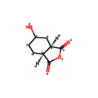 O=C1OC(=O)[C@@H]2CC(O)CC[C@H]12